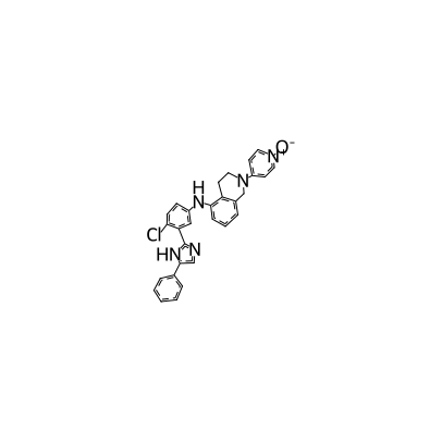 [O-][n+]1ccc(N2CCc3c(cccc3Nc3ccc(Cl)c(-c4ncc(-c5ccccc5)[nH]4)c3)C2)cc1